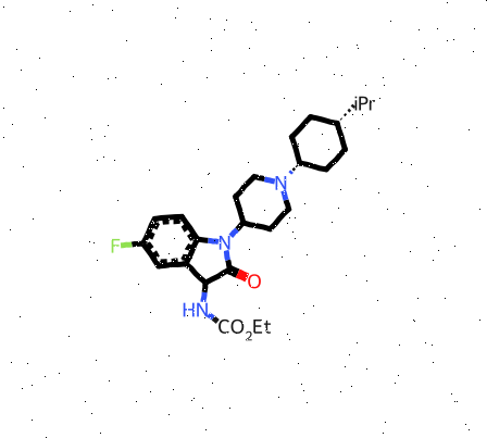 CCOC(=O)NC1C(=O)N(C2CCN([C@H]3CC[C@@H](C(C)C)CC3)CC2)c2ccc(F)cc21